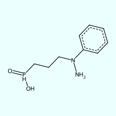 NN(CCC[PH](=O)O)c1ccccc1